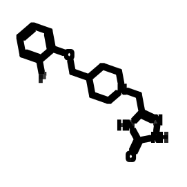 O=c1[nH]nc(CN2CCC(COc3ccccc3F)CC2)[nH]1